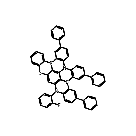 Fc1ccccc1N1c2ccc(-c3ccccc3)cc2B2c3cc(-c4ccccc4)ccc3N3c4ccc(-c5ccccc5)cc4B4c5ccccc5Sc5cc1c2c3c54